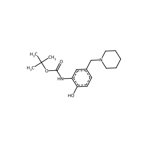 CC(C)(C)OC(=O)Nc1cc(CN2CCCCC2)ccc1O